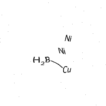 [BH2][Cu].[Ni].[Ni]